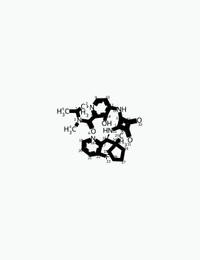 CC(C)N(C)C(=O)c1nccc(Nc2c(N[C@@H](c3ncccc3F)C3(C)CCCC3)c(=O)c2=O)c1O